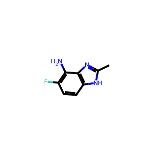 Cc1nc2c(N)c(F)ccc2[nH]1